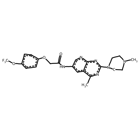 Cc1nc(N2CCN(C)CC2)nc2ncc(NC(=O)COc3ccc(OC(F)(F)F)cc3)cc12